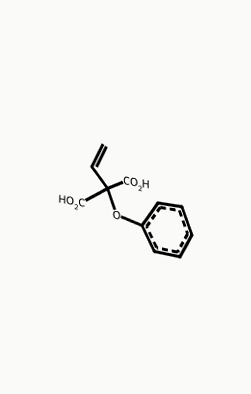 C=CC(Oc1ccccc1)(C(=O)O)C(=O)O